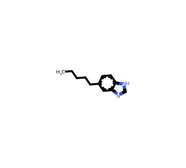 CCCCCc1ccc2[nH]cnc2c1